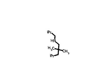 CC(C)CNCC(C)(C)CC(C)C